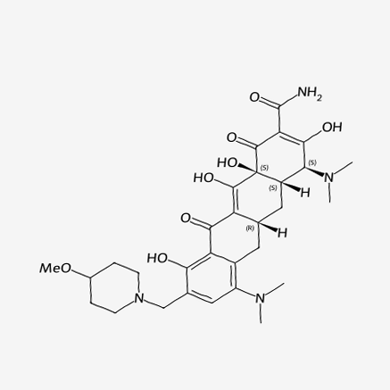 COC1CCN(Cc2cc(N(C)C)c3c(c2O)C(=O)C2=C(O)[C@]4(O)C(=O)C(C(N)=O)=C(O)[C@@H](N(C)C)[C@@H]4C[C@@H]2C3)CC1